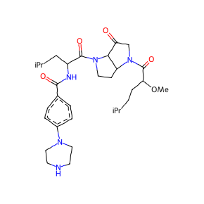 COC(CCC(C)C)C(=O)N1CC(=O)C2C1CCN2C(=O)C(CC(C)C)NC(=O)c1ccc(N2CCNCC2)cc1